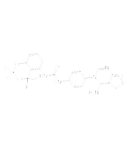 NC1c2ccoc2N=CN1c1ccc(NC(=O)Nc2cccc3c2C(F)(F)OC(F)(F)O3)cc1